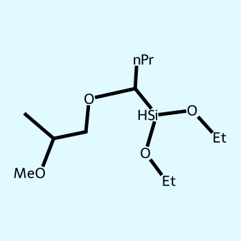 CCCC(OCC(C)OC)[SiH](OCC)OCC